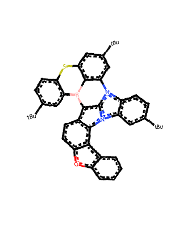 CC(C)(C)c1ccc2c(c1)B1c3c(cc(C(C)(C)C)cc3-n3c4ccc(C(C)(C)C)cc4n4c5c(ccc6oc7ccccc7c65)c1c34)S2